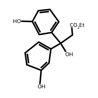 CCOC(=O)CC(O)(c1cccc(O)c1)c1cccc(O)c1